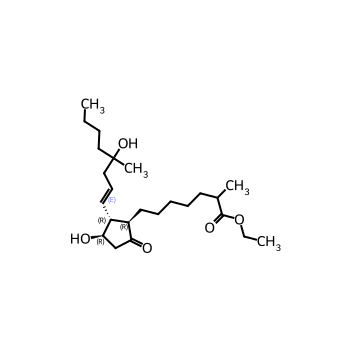 CCCCC(C)(O)C/C=C/[C@H]1[C@H](O)CC(=O)[C@@H]1CCCCCC(C)C(=O)OCC